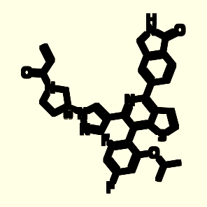 C=CC(=O)N1CC[C@H](n2cc(-c3nc(-c4ccc5c(c4)CNC5=O)c4ccsc4c3-c3c(F)cc(F)cc3OC(C)C)cn2)C1